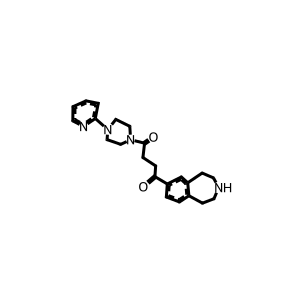 O=C(CCC(=O)N1CCN(c2ccccn2)CC1)c1ccc2c(c1)CCNCC2